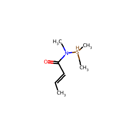 C/C=C/C(=O)N(C)[SH](C)C